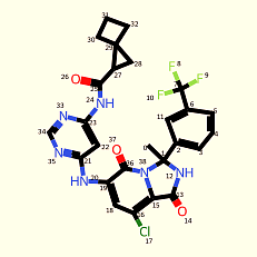 CC1(c2cccc(C(F)(F)F)c2)NC(=O)c2c(Cl)cc(Nc3cc(NC(=O)C4CC45CCC5)ncn3)c(=O)n21